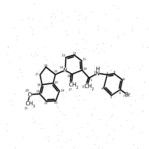 C=C(Nc1ccc(Br)cc1)C1=CC=CN(C2CCc3c(OC)cccc32)C1=C